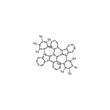 [2H]c1c([2H])c([2H])c(-n2c3ccccc3c3c4ccccc4c4c(c5ccccc5c5c6ccccc6n(-c6c([2H])c([2H])c([2H])c([2H])c6[2H])c54)c32)c([2H])c1[2H]